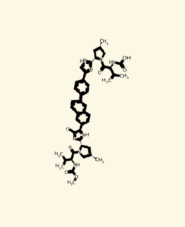 COC(=O)N[C@H](C(=O)N1C[C@@H](C)C[C@H]1c1nc(Cl)c(-c2ccc3cc(-c4ccc(-c5c[nH]c([C@@H]6C[C@H](C)CN6C(=O)[C@@H](NC(=O)O)C(C)C)n5)cc4)ccc3c2)[nH]1)C(C)C